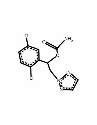 NC(=O)OC(Cn1nccn1)c1cc(Cl)ccc1Cl